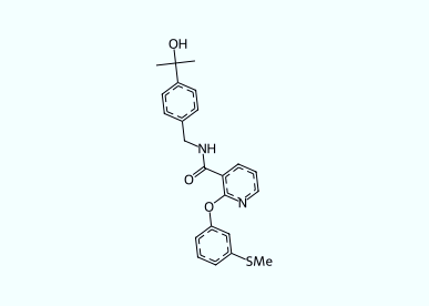 CSc1cccc(Oc2ncccc2C(=O)NCc2ccc(C(C)(C)O)cc2)c1